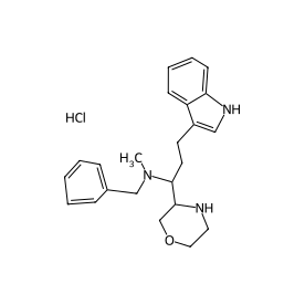 CN(Cc1ccccc1)C(CCc1c[nH]c2ccccc12)C1COCCN1.Cl